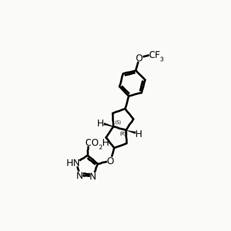 O=C(O)c1[nH]nnc1OC1C[C@@H]2CC(c3ccc(OC(F)(F)F)cc3)C[C@@H]2C1